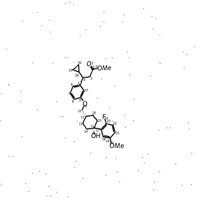 COC(=O)CC(c1cccc(OC[C@H]2CC[C@](O)(c3cc(OC)ccc3F)CC2)c1)C1CC1